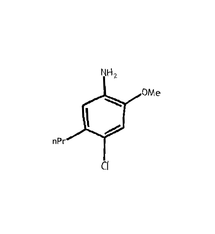 CCCc1cc(N)c(OC)cc1Cl